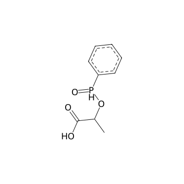 CC(O[PH](=O)c1ccccc1)C(=O)O